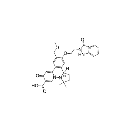 COCc1cc2c(cc1OCCn1[nH]c3cccc[n+]3c1=O)[C@H]1CCC(C)(C)N1n1cc(C(=O)O)c(=O)cc1-2